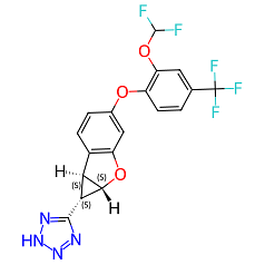 FC(F)Oc1cc(C(F)(F)F)ccc1Oc1ccc2c(c1)O[C@@H]1[C@H](c3nn[nH]n3)[C@@H]21